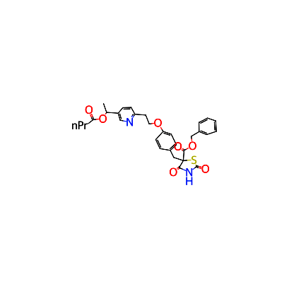 CCCC(=O)OC(C)c1ccc(CCOc2ccc(CC3(C(=O)OCc4ccccc4)SC(=O)NC3=O)cc2)nc1